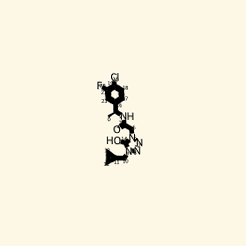 C[C@H](NC(=O)CN1N=NN(CC2CC2)C1O)c1ccc(Cl)c(F)c1